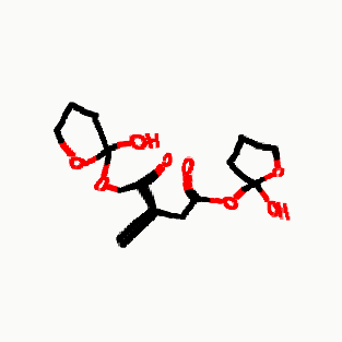 C=C(CC(=O)OC1(O)CCCO1)C(=O)OC1(O)CCCO1